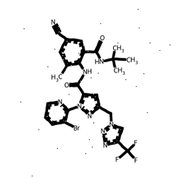 Cc1cc(C#N)cc(C(=O)NC(C)(C)C)c1NC(=O)c1cc(Cn2cc(C(F)(F)F)nn2)nn1-c1ncccc1Br